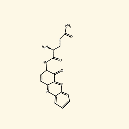 NC(=O)CC[C@H](N)C(=O)NC1C=Cc2nc3ccccc3nc2C1=O